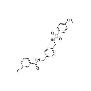 Cc1ccc(S(=O)(=O)NCc2ccc(CNC(=O)c3cccc(Cl)c3)cc2)cc1